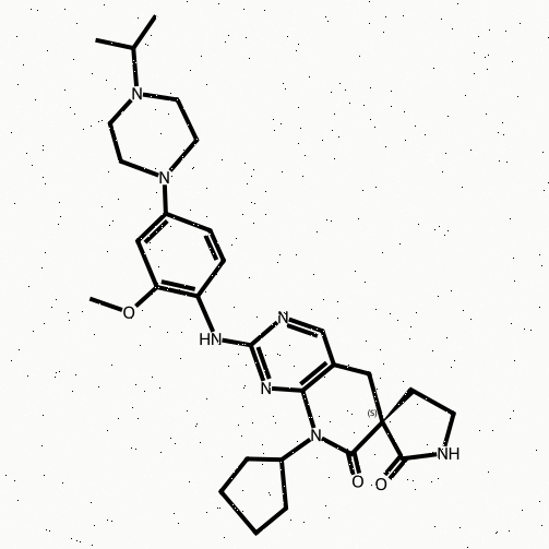 COc1cc(N2CCN(C(C)C)CC2)ccc1Nc1ncc2c(n1)N(C1CCCC1)C(=O)[C@]1(CCNC1=O)C2